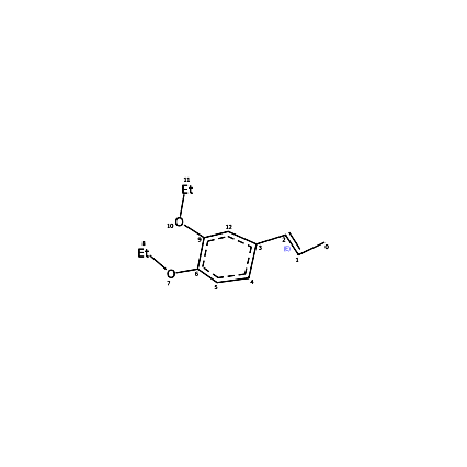 C/C=C/c1ccc(OCC)c(OCC)c1